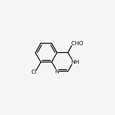 O=CC1NC=Nc2c(Cl)cccc21